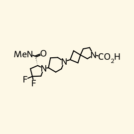 CNC(=O)[C@H]1CC(F)(F)CN1C1CCN(C2CC3(CCN(C(=O)O)C3)C2)CC1